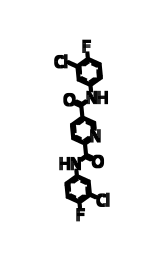 O=C(Nc1ccc(F)c(Cl)c1)c1ccc(C(=O)Nc2ccc(F)c(Cl)c2)nc1